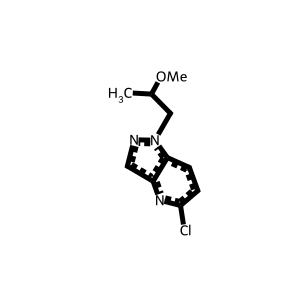 COC(C)Cn1ncc2nc(Cl)ccc21